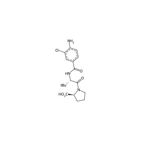 CC(C)(C)[C@H](NC(=O)c1ccc(N)c(Cl)c1)C(=O)N1CCC[C@H]1C(=O)O